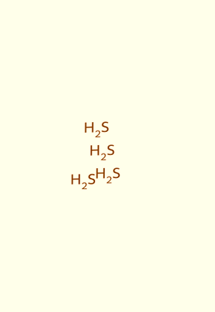 S.S.S.S